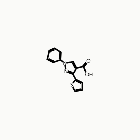 O=C(O)c1cn(-c2ccccc2)nc1-c1cccs1